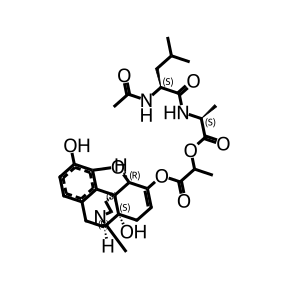 CC(=O)N[C@@H](CC(C)C)C(=O)N[C@@H](C)C(=O)OC(C)C(=O)OC1=CC[C@@]2(O)[C@H]3Cc4ccc(O)c5c4[C@@]2(CCN3C)[C@H]1O5